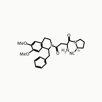 COc1cc2c(cc1OC)C(Cc1ccccc1)N(C(=O)CC(N)C(=O)N1CCC[C@H]1C#N)CC2